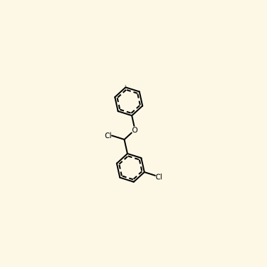 Clc1cccc(C(Cl)Oc2cc[c]cc2)c1